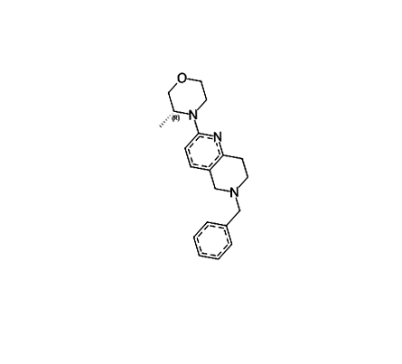 C[C@@H]1COCCN1c1ccc2c(n1)CCN(Cc1ccccc1)C2